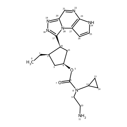 CC[C@@H]1C[C@H](OC(=O)N(CCN)C2CC2)C[C@@H]1c1nnc2cnc3[nH]ccc3n12